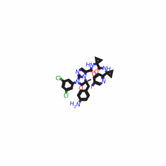 C[C@@]1(Cc2ccc(N)cc2)C(=O)N(c2cc(Cl)cc(Cl)c2)c2ncc(C(=O)NC3(C(=O)NC4(c5ccc(I)cn5)CC4)CC3)n21